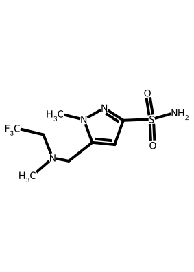 CN(Cc1cc(S(N)(=O)=O)nn1C)CC(F)(F)F